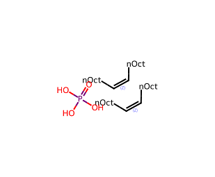 CCCCCCCC/C=C\CCCCCCCC.CCCCCCCC/C=C\CCCCCCCC.O=P(O)(O)O